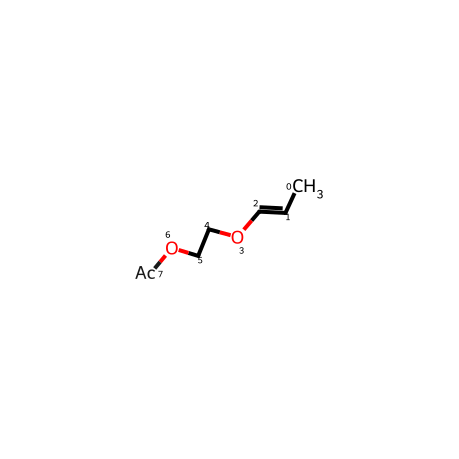 CC=COCCOC(C)=O